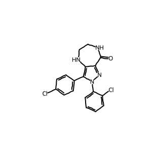 O=C1NCCNc2c1nn(-c1ccccc1Cl)c2-c1ccc(Cl)cc1